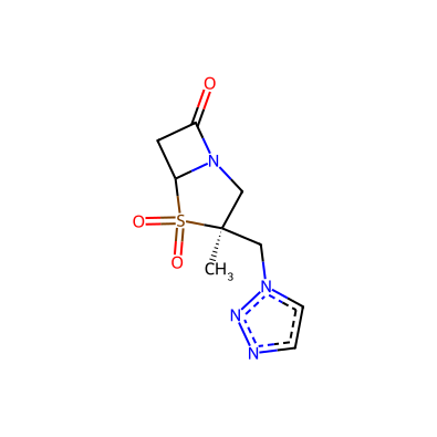 C[C@@]1(Cn2ccnn2)CN2C(=O)CC2S1(=O)=O